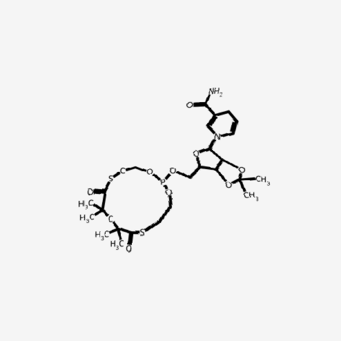 CC1(C)OC2C(COP3OCCSC(=O)C(C)(C)CC(C)(C)C(=O)SCCO3)OC(N3C=CCC(C(N)=O)=C3)C2O1